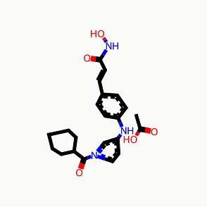 CC(=O)O.O=C(C=Cc1ccc(Nc2ccn(C(=O)C3CCCCC3)c2)cc1)NO